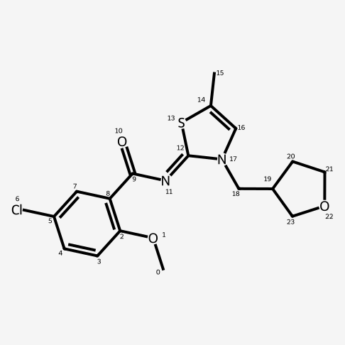 COc1ccc(Cl)cc1C(=O)N=c1sc(C)cn1CC1CCOC1